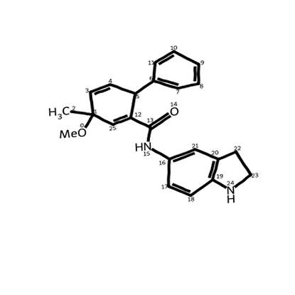 COC1(C)C=CC(c2ccccc2)C(C(=O)Nc2ccc3c(c2)CCN3)=C1